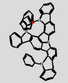 c1ccc(-n2c3ccccc3c3ccc4c(c5cc6c7ccccc7n(-c7ccccc7)c6c6c7c8c(ccc7n4c56)c4ccccc4n8-c4ccccc4)c32)cc1